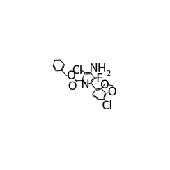 Nc1c(F)c(-c2ccc(Cl)c3c2OCO3)nc(C(=O)OCC2=CCCC=C2)c1Cl